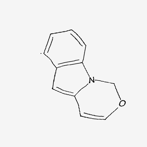 [c]1cccc2c1cc1n2COC=C1